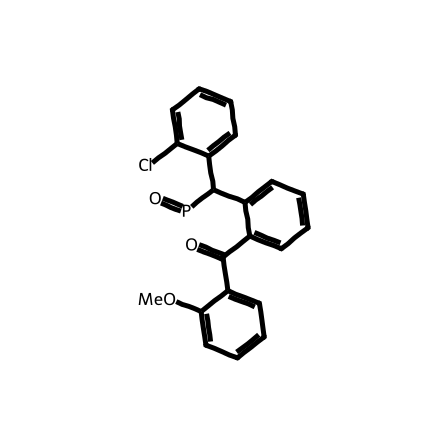 COc1ccccc1C(=O)c1ccccc1C(P=O)c1ccccc1Cl